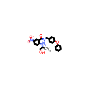 CC(CO)Nc1ccc([N+](=O)[O-])cc1C(=O)NCc1ccc(Oc2ccccc2)cc1